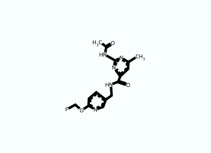 CC(=O)Nc1nc(C)cc(C(=O)NCc2ccc(OCF)nc2)n1